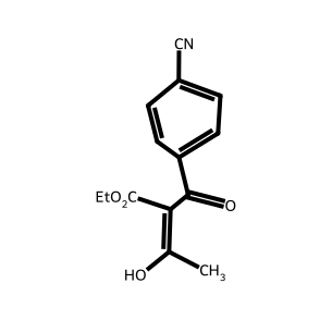 CCOC(=O)/C(C(=O)c1ccc(C#N)cc1)=C(/C)O